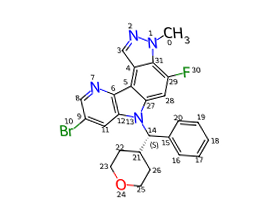 Cn1ncc2c3c4ncc(Br)cc4n([C@H](c4ccccc4)C4CCOCC4)c3cc(F)c21